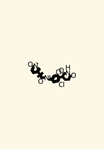 Cn1cc(C(C)(C)C(=O)NCc2cc(Cl)c(C3CCC(=O)NC3=O)c(Cl)c2)ccc1=O